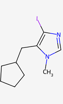 Cn1cnc(I)c1C[C]1CCCC1